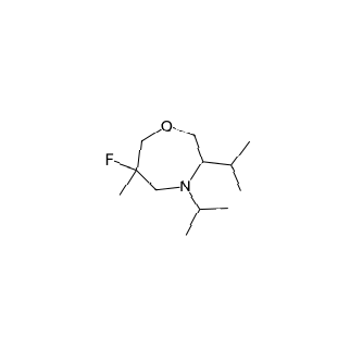 CC(C)C1COCC(C)(F)CN1C(C)C